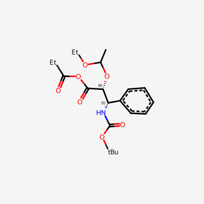 CCOC(C)O[C@@H](C(=O)OC(=O)CC)[C@@H](NC(=O)OC(C)(C)C)c1ccccc1